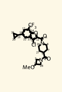 COC1CN(C(=O)C2CCN(C(=O)c3oc4c(C(F)(F)F)cc(C5CC5)cc4c3Cl)CC2)C1